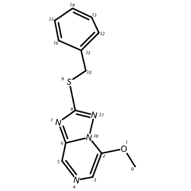 COc1cncc2nc(SCc3ccccc3)nn12